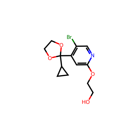 OCCOc1cc(C2(C3CC3)OCCO2)c(Br)cn1